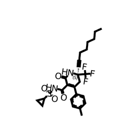 CCCCCCC#C[C@]1(C(F)(F)F)CC(c2ccc(C)cc2)=C(C(=O)NS(=O)(=O)C2CC2)C(=O)N1